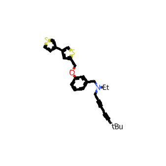 CCN(CC#CC#CC(C)(C)C)Cc1cccc(OCc2cc(-c3ccsc3)cs2)c1